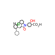 Cc1cccc2c1/C(=C\c1c(Cl)cccc1C1CCCCC1)C(=O)N2c1ccc(C(=O)O)c(O)c1